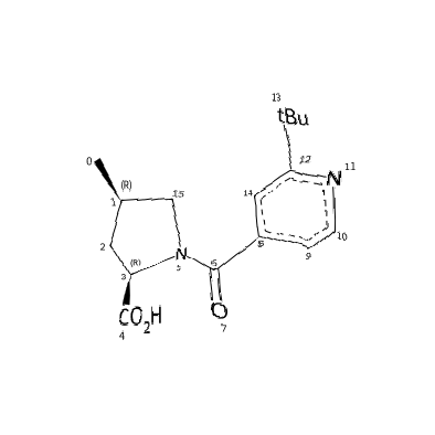 C[C@@H]1C[C@H](C(=O)O)N(C(=O)c2ccnc(C(C)(C)C)c2)C1